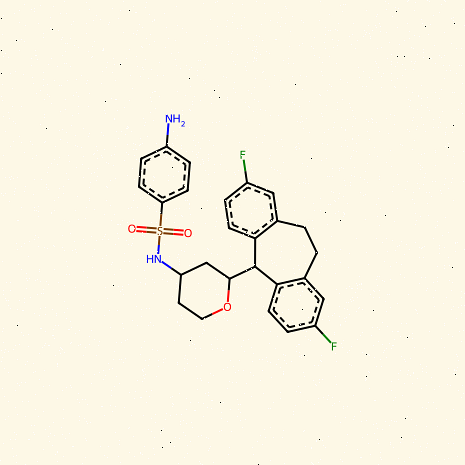 Nc1ccc(S(=O)(=O)NC2CCOC(C3c4ccc(F)cc4CCc4cc(F)ccc43)C2)cc1